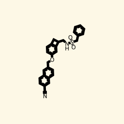 N#Cc1ccc2cc(COc3ccc4c(c3)C(CNS(=O)(=O)Cc3ccccc3)C4)ccc2c1